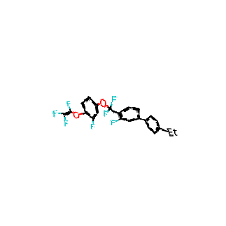 CCc1ccc(-c2ccc(C(F)(F)Oc3ccc(OC(F)=C(F)F)c(F)c3)c(F)c2)cc1